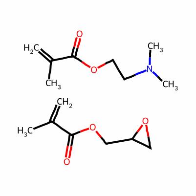 C=C(C)C(=O)OCC1CO1.C=C(C)C(=O)OCCN(C)C